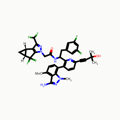 COc1ccc(-c2ccc(C#CC(C)(C)O)nc2C(Cc2cc(F)cc(F)c2)NC(=O)Cn2nc(C(F)F)c3c2C(F)(F)[C@@H]2C[C@H]32)c2c1c(N)nn2C